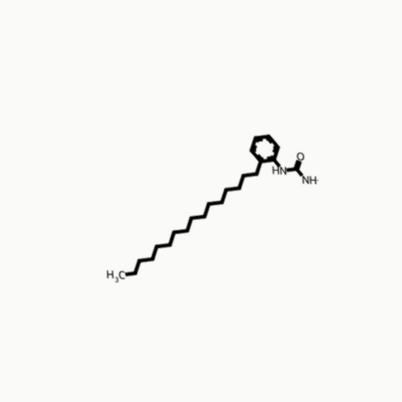 CCCCCCCCCCCCCCCCc1ccccc1NC([NH])=O